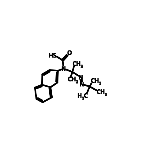 CC(C)(C)N=NC(C)(C)N(C(=O)S)c1ccc2ccccc2c1